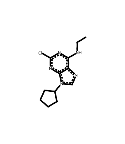 CCNc1nc(Cl)nc2c1ncn2C1CCCC1